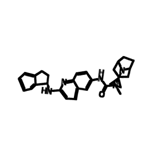 CN(C(=O)Nc1ccc2nc(N[C@@H]3CCc4ccccc43)ccc2c1)C1CC2CCC(C1)N2C1CC1